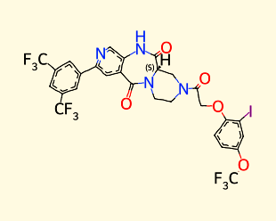 O=C1Nc2cnc(-c3cc(C(F)(F)F)cc(C(F)(F)F)c3)cc2C(=O)N2CCN(C(=O)COc3ccc(OC(F)(F)F)cc3I)C[C@@H]12